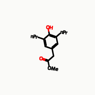 CCCc1cc(CC(=O)OC)cc(CCC)c1O